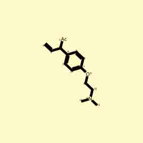 C=CC(C(C)=O)c1ccc(OCCN(C)C)cc1